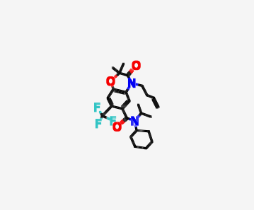 C=CCCN1C(=O)C(C)(C)Oc2cc(C(F)(F)F)c(C(=O)N(C(C)C)C3CCCCC3)cc21